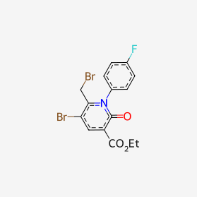 CCOC(=O)c1cc(Br)c(CBr)n(-c2ccc(F)cc2)c1=O